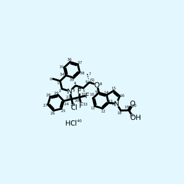 CC(CN(CC[C@H](C)Oc1cccc2c1ccn2CC(=O)O)C(Cl)(c1ccccc1)C(F)(F)F)c1ccccc1.Cl